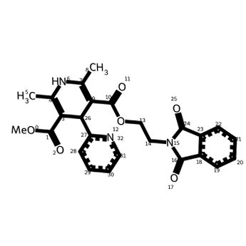 COC(=O)C1=C(C)NC(C)=C(C(=O)OCCN2C(=O)c3ccccc3C2=O)C1c1ccccn1